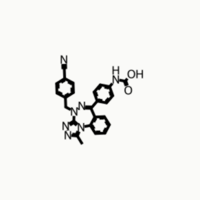 Cc1nnc2n1-c1ccccc1C(c1ccc(NC(=O)O)cc1)=NN2Cc1ccc(C#N)cc1